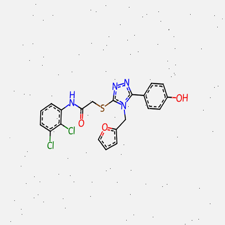 O=C(CSc1nnc(-c2ccc(O)cc2)n1Cc1ccco1)Nc1cccc(Cl)c1Cl